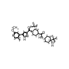 COc1cc(-c2cc(C(=O)N3CCC(C(=O)N[C@H]4CC[C@@](O)(C(F)(F)F)CC4)C[C@H]3C(F)(F)F)n[nH]2)c(F)cn1